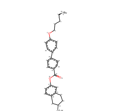 CC[C@H](C)CCCCOc1ccc(-c2ccc(C(=O)Oc3ccc4c(c3)CCC(C(=O)O)C4)cc2)cc1